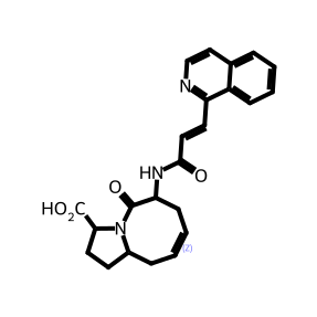 O=C(C=Cc1nccc2ccccc12)NC1C/C=C\CC2CCC(C(=O)O)N2C1=O